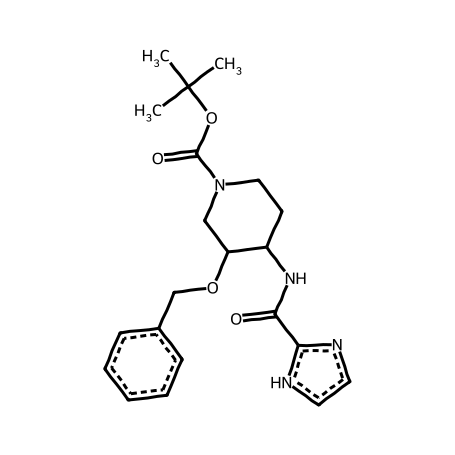 CC(C)(C)OC(=O)N1CCC(NC(=O)c2ncc[nH]2)C(OCc2ccccc2)C1